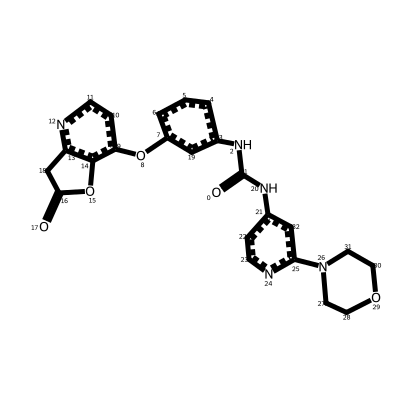 O=C(Nc1cccc(Oc2ccnc3c2OC(=O)C3)c1)Nc1ccnc(N2CCOCC2)c1